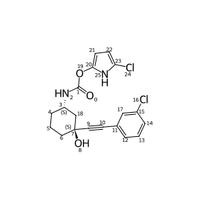 O=C(N[C@H]1CCC[C@@](O)(C#Cc2cccc(Cl)c2)C1)Oc1ccc(Cl)[nH]1